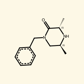 C[C@@H]1N[C@@H](C)CN(Cc2ccccc2)C1=O